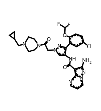 Nc1nn2cccnc2c1C(=O)Nc1cn(CC(=O)N2CCN(CC3CC3)CC2)nc1-c1cc(Cl)ccc1OC(F)F